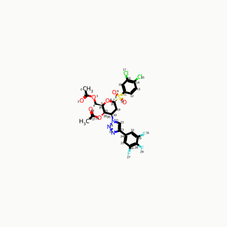 CC(=O)OC[C@H]1O[C@H](S(=O)(=O)c2ccc(Cl)c(Cl)c2)C[C@@H](n2cc(-c3cc(F)c(F)c(F)c3)nn2)[C@H]1OC(C)=O